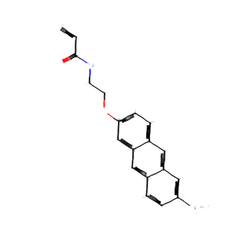 C=CC(=O)NCCOc1ccc2cc3cc(CCCCC)ccc3cc2c1